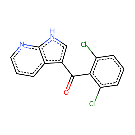 O=C(c1c(Cl)cccc1Cl)c1c[nH]c2ncccc12